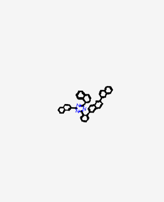 C1=Cc2ccccc2C(c2nc(-c3ccc4ccccc4c3)nc(-c3ccccc3-c3ccc4cc(-c5ccc6ccccc6c5)ccc4c3)n2)C1